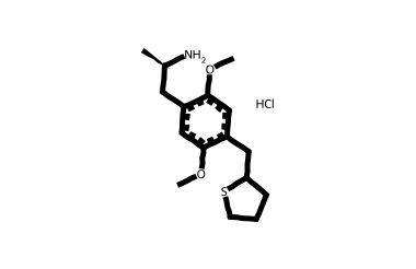 COc1cc(C[C@@H](C)N)c(OC)cc1CC1CCCS1.Cl